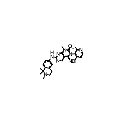 CN1CCc2cc(Nc3ncc4c(=N)n(-c5c(Cl)ccnc5Cl)c(=O)n(C)c4n3)ccc2C1(C)C